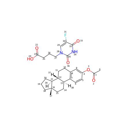 CC(=O)Oc1ccc2c(c1)CC[C@@H]1[C@@H]2CC[C@]2(C)CCC[C@@H]12.O=C(O)CCCn1cc(F)c(=O)[nH]c1=O